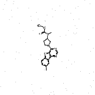 Cc1ccc2oc3c(N4CC[C@@H](N(C)C(=O)OC(C)(C)C)C4)ncnc3c2c1